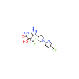 O=C1Nc2[nH]nc(C3CCN(c4ccc(C(F)(F)F)cn4)CC3)c2[C@H](C(F)(F)F)[C@H]1O